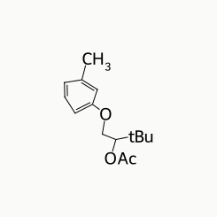 CC(=O)OC(COc1cccc(C)c1)C(C)(C)C